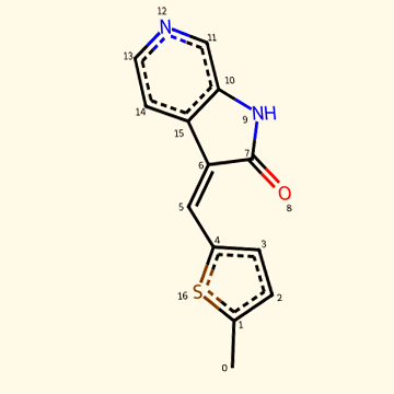 Cc1ccc(C=C2C(=O)Nc3cnccc32)s1